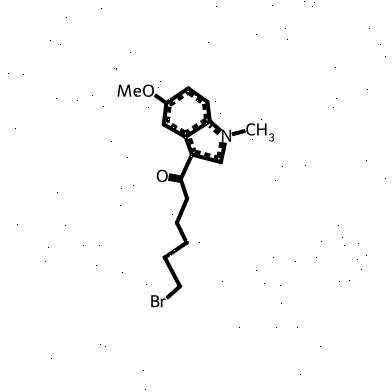 COc1ccc2c(c1)c(C(=O)CCCCCBr)cn2C